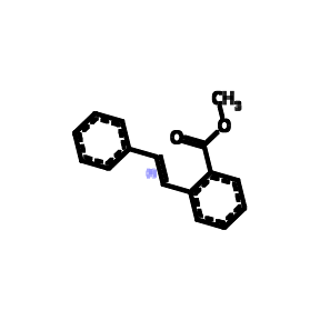 COC(=O)c1ccccc1/C=C/c1ccccc1